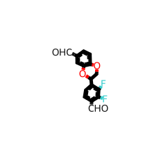 O=Cc1ccc2c(c1)OC(c1ccc(C=O)c(F)c1F)CO2